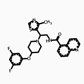 Cc1ncsc1C(CNC(=O)c1cccc2ncccc12)N1CCC(Oc2cc(F)cc(F)c2)CC1